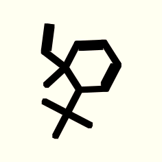 C=CC1(C)C=CC=CC1C(C)(C)C